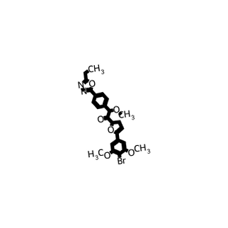 CCc1nnc(-c2ccc(C(OC)C(=O)C3CC=C(c4cc(OC)c(Br)c(OC)c4)O3)cc2)o1